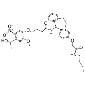 CCCCNC(=O)COc1ccc2c(c1)CCc1ccccc1C2NC(=O)CCCOc1cc([N+](=O)[O-])c(C(C)O)cc1OC